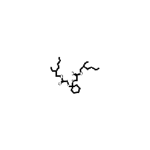 CCCCC(CC)COC(=O)CSC1(SCC(=O)OCC(CC)CCCC)CCCCC1